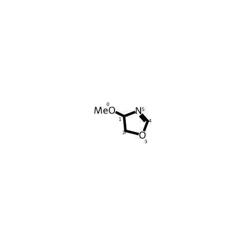 COC1[CH]OC=N1